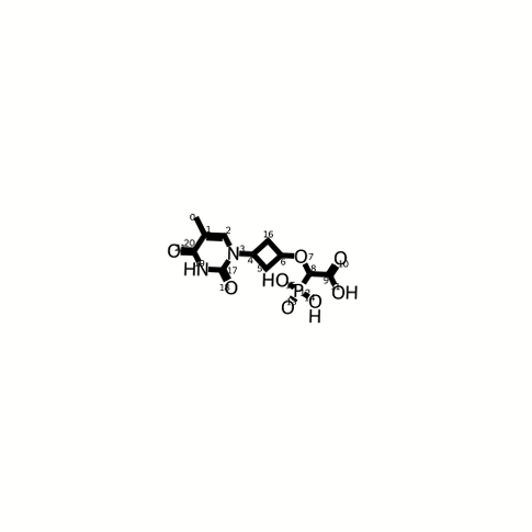 Cc1cn(C2CC(OC(C(=O)O)P(=O)(O)O)C2)c(=O)[nH]c1=O